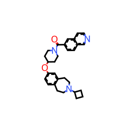 O=C(c1ccc2cnccc2c1)N1CCC(Oc2ccc3c(c2)CCN(C2CCC2)CC3)CC1